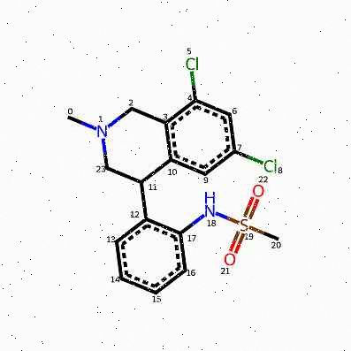 CN1Cc2c(Cl)cc(Cl)cc2C(c2ccccc2NS(C)(=O)=O)C1